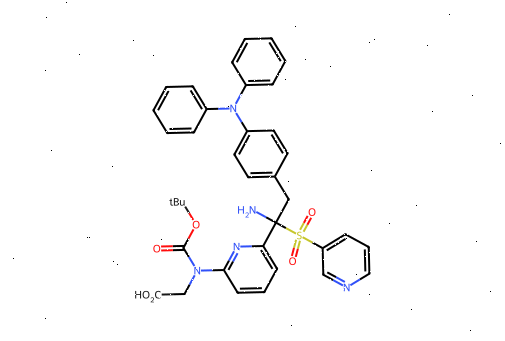 CC(C)(C)OC(=O)N(CC(=O)O)c1cccc(C(N)(Cc2ccc(N(c3ccccc3)c3ccccc3)cc2)S(=O)(=O)c2cccnc2)n1